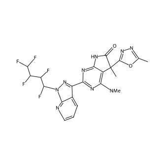 CNc1nc(-c2nn(C(F)C(F)C(F)C(F)F)c3ncccc23)nc2c1C(C)(c1nnc(C)o1)C(=O)N2